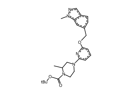 CC1CN(c2cccc(OCc3ccc4cnn(C)c4c3)n2)CCN1C(=O)OC(C)(C)C